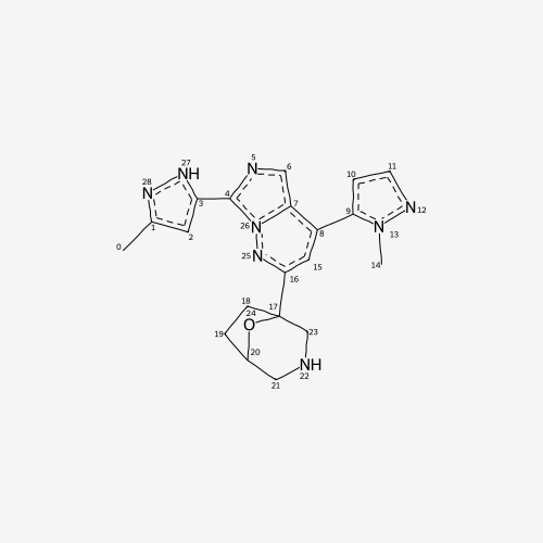 Cc1cc(-c2ncc3c(-c4ccnn4C)cc(C45CCC(CNC4)O5)nn23)[nH]n1